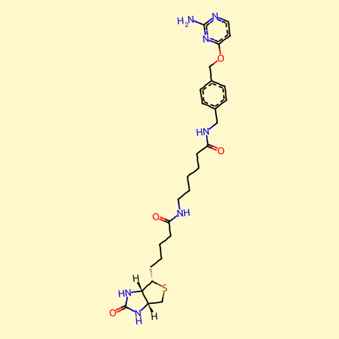 Nc1nccc(OCc2ccc(CNC(=O)CCCCCNC(=O)CCCC[C@@H]3SC[C@@H]4NC(=O)N[C@@H]43)cc2)n1